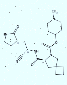 CN1CCC(OC(=O)N2CC3(CCC3)C[C@H]2C(=O)N[C@H](C#N)C[C@@H]2CCNC2=O)CC1